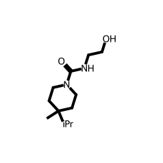 CC(C)C1(C)CCN(C(=O)NCCO)CC1